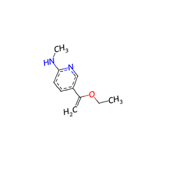 C=C(OCC)c1ccc(NC)nc1